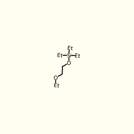 CCOCCO[Si](CC)(CC)CC